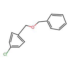 Clc1ccc(COCc2ccccc2)cc1